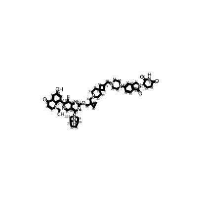 CCn1ccc(=O)c2cc(O)cc(-c3ncc4c(N5CC6CCC(C5)N6)nc(OCC5(CN6CCC7(CC6)CC(CN6CCN(c8ccc9c(c8)CN([C@H]8CCC(=O)NC8=O)C9=O)CC6)C7)CC5)nc4c3F)c21